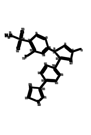 Cc1cn(-c2ccc(S(N)(=O)=O)c(F)c2)c(-c2ccc(-c3cscn3)cc2)n1